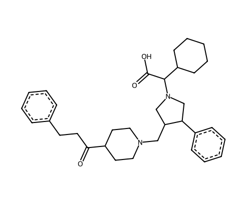 O=C(CCc1ccccc1)C1CCN(CC2CN(C(C(=O)O)C3CCCCC3)CC2c2ccccc2)CC1